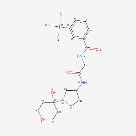 O=C(CNC(=O)c1cccc(C(F)(F)F)c1)NC1CCN(C2(O)CCOCC2)C1